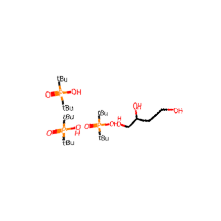 CC(C)(C)P(=O)(O)C(C)(C)C.CC(C)(C)P(=O)(O)C(C)(C)C.CC(C)(C)P(=O)(O)C(C)(C)C.OCCC(O)CO